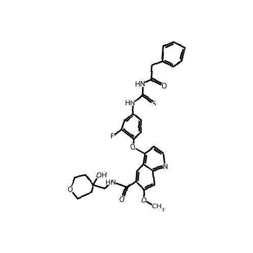 COc1cc2nccc(Oc3ccc(NC(=S)NC(=O)Cc4ccccc4)cc3F)c2cc1C(=O)NCC1(O)CCOCC1